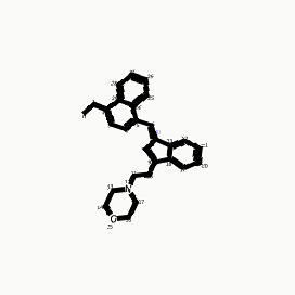 CCc1ccc(/C=C2\C=C(CCN3CCOCC3)c3ccccc32)c2ccccc12